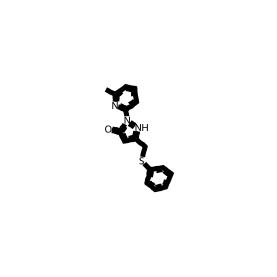 Cc1cccc(-n2[nH]c(CSc3ccccc3)cc2=O)n1